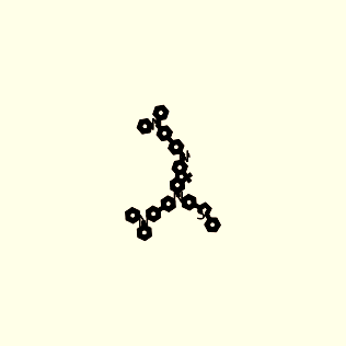 CN(c1ccc(-c2ccc(N(c3ccccc3)c3ccccc3)cc2)cc1)c1ccc2c(c1)C(C)(C)c1cc(N(c3ccc(-c4ccc(N(c5ccccc5)c5ccccc5)cc4)cc3)c3ccc(C4CCC(c5ccccc5)S4)cc3)ccc1-2